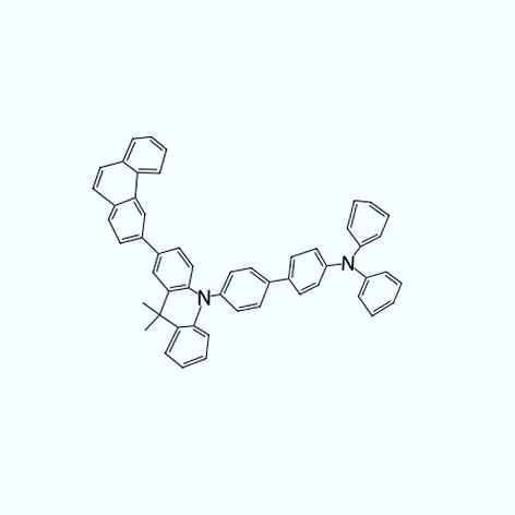 CC1(C)c2ccccc2N(c2ccc(-c3ccc(N(c4ccccc4)c4ccccc4)cc3)cc2)c2ccc(-c3ccc4ccc5ccccc5c4c3)cc21